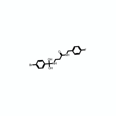 O=C(CCNC(O)(O)c1ccc(Br)cc1)NCc1ccc(F)cc1